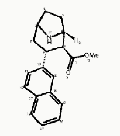 COC(=O)[C@@H]1[C@H]2CCC(C[C@H]1c1ccc3ccccc3c1)N2